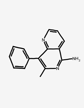 Cc1nc(N)c2cccnc2c1-c1ccccc1